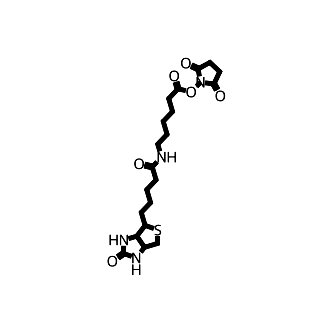 O=C(CCCCC1SCC2NC(=O)NC21)NCCCCCC(=O)ON1C(=O)CCC1=O